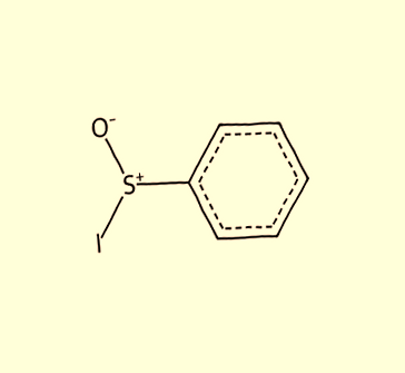 [O-][S+](I)c1ccccc1